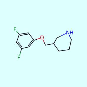 Fc1cc(F)cc(OCC2CCCNC2)c1